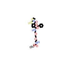 CC(C)(C)OC(=O)NCCOCCOCCNC(=O)C1=CC=CC(C(=O)N2CCSC2S)C1OCc1ccccc1